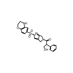 O=C(C(CO)c1ccccc1)N1Cc2cn(S(=O)(=O)c3ccc4c(c3)NCCO4)nc2C1